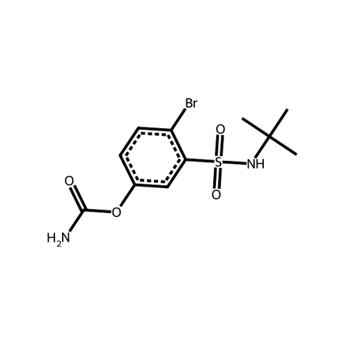 CC(C)(C)NS(=O)(=O)c1cc(OC(N)=O)ccc1Br